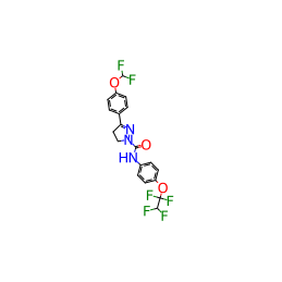 O=C(Nc1ccc(OC(F)(F)C(F)F)cc1)N1CCC(c2ccc(OC(F)F)cc2)=N1